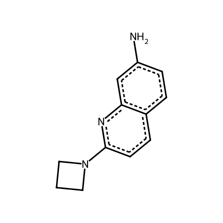 Nc1ccc2ccc(N3CCC3)nc2c1